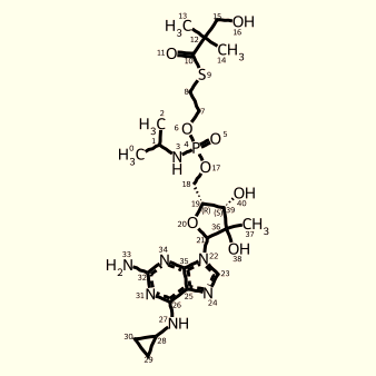 CC(C)NP(=O)(OCCSC(=O)C(C)(C)CO)OC[C@H]1OC(n2cnc3c(NC4CC4)nc(N)nc32)C(C)(O)[C@H]1O